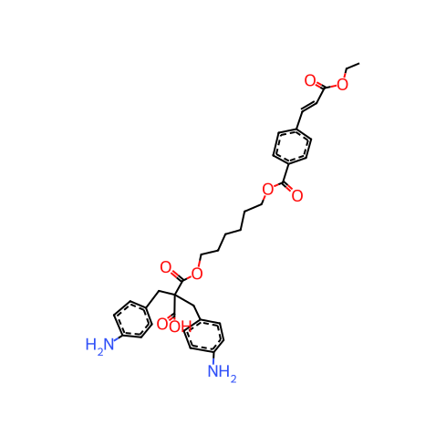 CCOC(=O)C=Cc1ccc(C(=O)OCCCCCCOC(=O)C(Cc2ccc(N)cc2)(Cc2ccc(N)cc2)C(=O)O)cc1